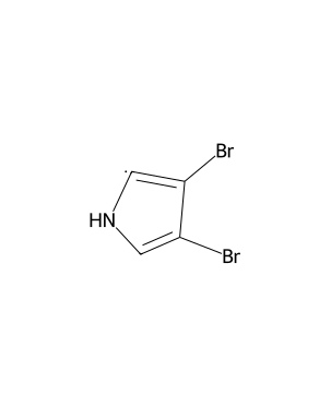 Brc1[c][nH]cc1Br